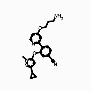 Cn1nc(C2CC2)cc1Oc1cc(C#N)ccc1-c1cc(OCCCN)ccn1